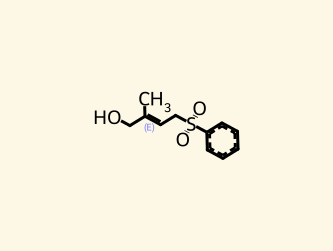 C/C(=C\CS(=O)(=O)c1ccccc1)CO